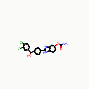 NC(=O)Oc1ccc2[nH]c(-c3ccc(C(O)c4ccc(Cl)c(Cl)c4)cc3)nc2c1